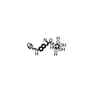 N#C/C(=C\c1ccc2cc(NCCN3CCOCC3)ccc2c1)C(=O)NC[C@H]1OC(O)[C@H](O)[C@@H](O)[C@@H]1O